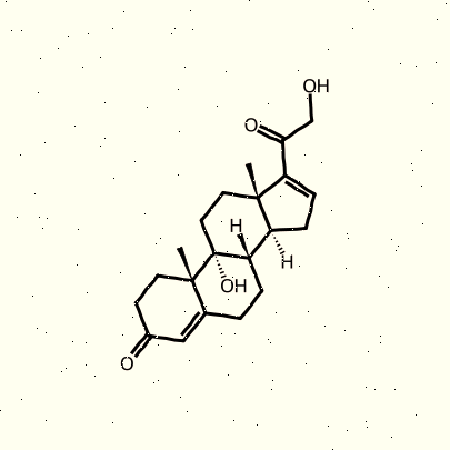 C[C@]12CCC(=O)C=C1CC[C@H]1[C@@H]3CC=C(C(=O)CO)[C@@]3(C)CC[C@@]12O